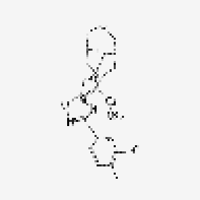 Cc1ccc(-c2noc(COC3C4COCC3CN(C(=O)OC(C)(C)C)C4)n2)cc1F